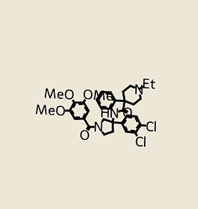 CCN1CCC(C(=O)NC2(c3ccc(Cl)c(Cl)c3)CCN(C(=O)c3cc(OC)c(OC)c(OC)c3)C2)(c2ccccc2)CC1